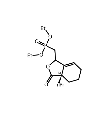 CCC[C@]12CCCC=C1C(CP(=O)(OCC)OCC)OC2=O